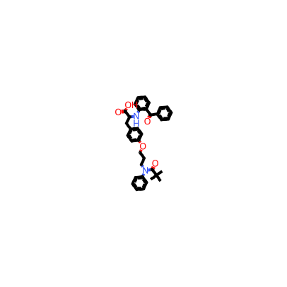 CC(C)(C)C(=O)N(CCCOc1ccc(CC(Nc2ccccc2C(=O)c2ccccc2)C(=O)O)cc1)c1ccccc1